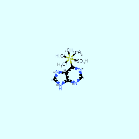 CS(C)(C)(C)(c1ncnc2[nH]cnc12)S(=O)(=O)O